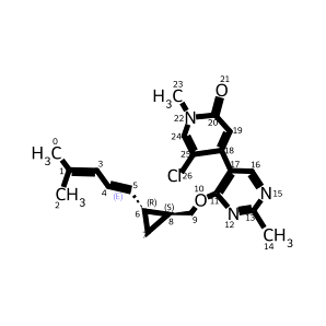 CC(C)=C/C=C/[C@H]1C[C@@H]1COc1nc(C)ncc1-c1cc(=O)n(C)cc1Cl